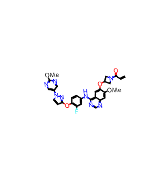 C=CC(=O)N1CC(Oc2cc3c(Nc4ccc(Oc5ccn(-c6cnc(OC)nc6)n5)c(F)c4)ncnc3cc2OC)C1